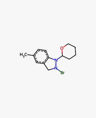 Cc1ccc2c(c1)CN(Br)N2C1CCCCO1